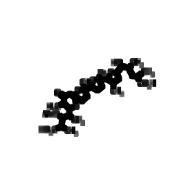 CCC1(C2OC(C(O)C(C)CC(C)C(=O)O)CC2C)CCC(C2(C)CCC3(CC(=O)C(C)C(C(C)C(OC)C(C)C(=O)O)O3)O2)O1